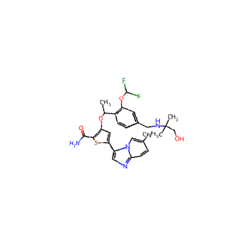 CC(Oc1cc(-c2cnc3ccc(C#N)cn23)sc1C(N)=O)c1ccc(CNC(C)(C)CO)cc1OC(F)F